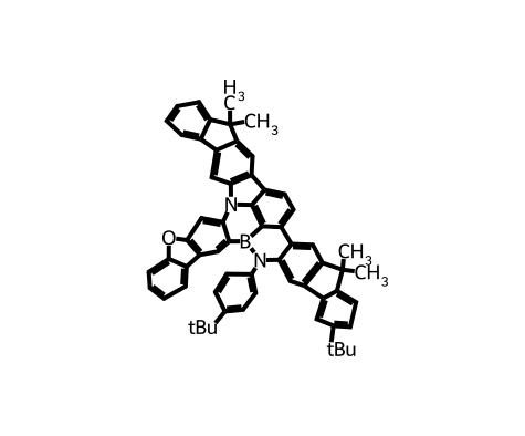 CC(C)(C)c1ccc(N2B3c4cc5c(cc4-n4c6cc7c(cc6c6ccc(c3c64)-c3cc4c(cc32)-c2cc(C(C)(C)C)ccc2C4(C)C)C(C)(C)c2ccccc2-7)oc2ccccc25)cc1